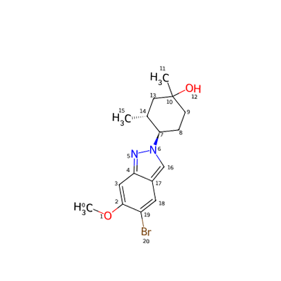 COc1cc2nn([C@@H]3CCC(C)(O)C[C@H]3C)cc2cc1Br